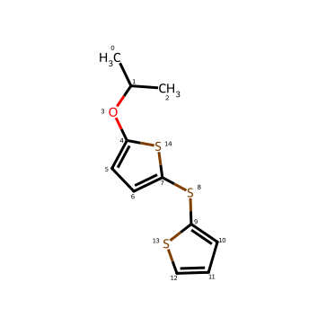 CC(C)Oc1ccc(Sc2cccs2)s1